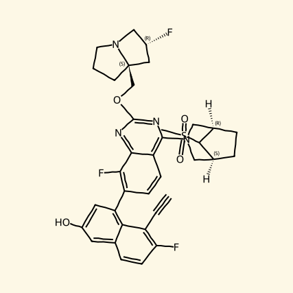 C#Cc1c(F)ccc2cc(O)cc(-c3ccc4c(N5C[C@H]6CC[C@@H](C5)C6S(C)(=O)=O)nc(OC[C@@]56CCCN5C[C@H](F)C6)nc4c3F)c12